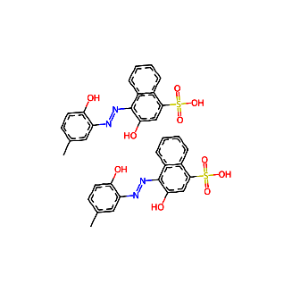 Cc1ccc(O)c(/N=N/c2c(O)cc(S(=O)(=O)O)c3ccccc23)c1.Cc1ccc(O)c(/N=N/c2c(O)cc(S(=O)(=O)O)c3ccccc23)c1